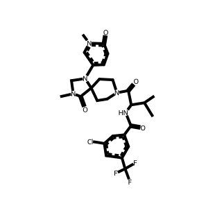 CC(C)C(NC(=O)c1cc(Cl)cc(C(F)(F)F)c1)C(=O)N1CCC2(CC1)C(=O)N(C)CN2c1ccc(=O)n(C)c1